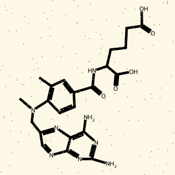 Cc1cc(C(=O)NC(CCCC(=O)O)C(=O)O)ccc1N(C)Cc1cnc2nc(N)nc(N)c2n1